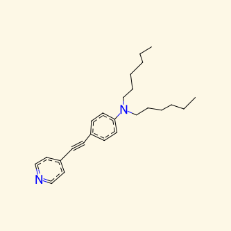 CCCCCCN(CCCCCC)c1ccc(C#Cc2ccncc2)cc1